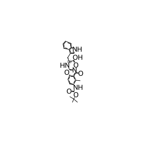 Cc1c(NC(=O)OC(C)(C)C)ccc2oc(N[C@@H](Cc3c[nH]c4ccccc34)C(=O)O)nc(=O)c12